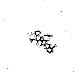 CC#CCn1c(N2CCC[C@@H](N)C2)c(C(=O)NC2CC2)c2c1c(=O)n(Cc1ncccc1C#N)c(=O)n2C